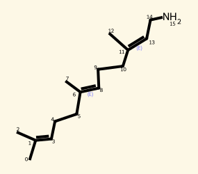 CC(C)=CCC/C(C)=C/CC/C(C)=C/CN